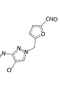 O=Cc1ccc(Cn2cc(Cl)c([N+](=O)[O-])n2)o1